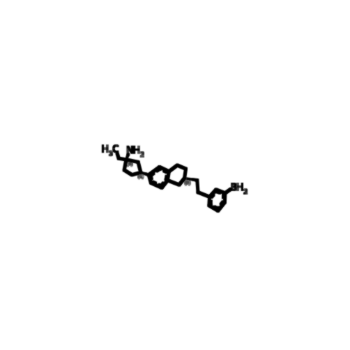 Bc1cccc(CC[C@@H]2CCc3cc([C@H]4CC[C@](N)(CC)C4)ccc3C2)c1